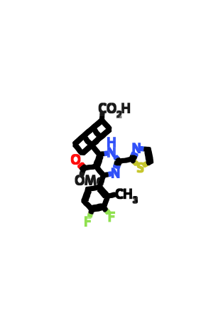 COC(=O)C1=C(C23C4C5C2C2C3C4C52C(=O)O)NC(c2nccs2)=NC1c1ccc(F)c(F)c1C